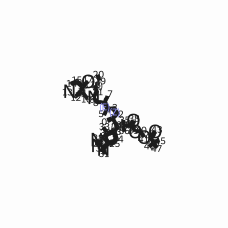 C=C(/C=C\C(C)=C(/C)CN1Cc2cnccc2O[C@H](CC)C1)[C@@H](c1ccc2c(nnn2C)c1C)C(C)(C)C(=O)OCOC(=O)C(C)(C)C